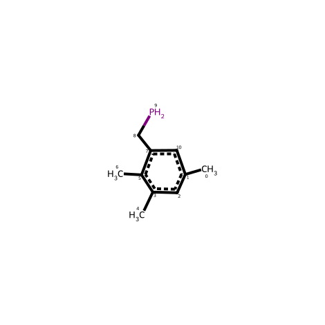 Cc1cc(C)c(C)c(CP)c1